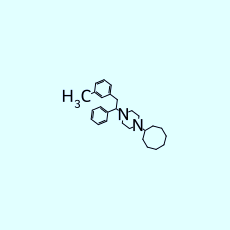 Cc1cccc(CC(c2ccccc2)N2CCN(C3CCCCCCC3)CC2)c1